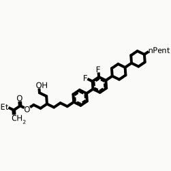 C=C(CC)C(=O)OCCC(CCO)CCCc1ccc(-c2ccc(C3CCC(C4CCC(CCCCC)CC4)CC3)c(F)c2F)cc1